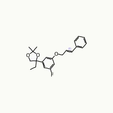 CCC1(c2cc(F)cc(OC/C=C/c3ccccc3)c2)COC(C)(C)O1